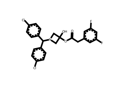 O=C(Cc1cc(F)cc(F)c1)OC1(O)CN(C(c2ccc(Cl)cc2)c2ccc(Cl)cc2)C1